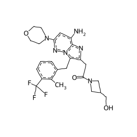 Cc1c(Cc2c(CC(=O)N3CC(CO)C3)nc3c(N)cc(N4CCOCC4)nn23)cccc1C(F)(F)F